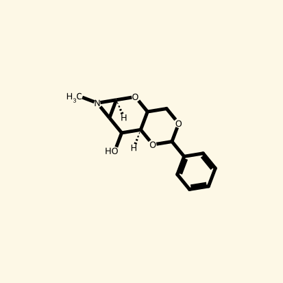 CN1C2C(O)[C@@H]3OC(c4ccccc4)OCC3O[C@@H]21